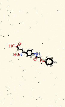 O=C(O)CCC(=NO)c1ccc(NC(=O)COc2ccccc2)cc1